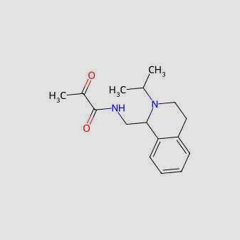 CC(=O)C(=O)NCC1c2ccccc2CCN1C(C)C